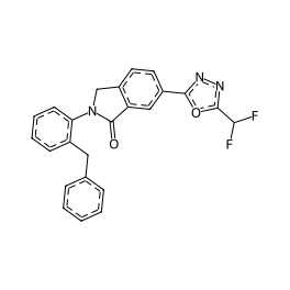 O=C1c2cc(-c3nnc(C(F)F)o3)ccc2CN1c1ccccc1Cc1ccccc1